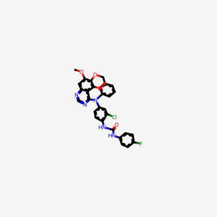 COc1cc2ncnc(N(c3ccccc3)c3ccc(NC(=O)Nc4ccc(F)cc4)c(Cl)c3)c2c2c1OCCO2